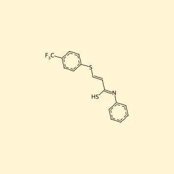 FC(F)(F)c1ccc(SC=CC(S)=Nc2ccccc2)cc1